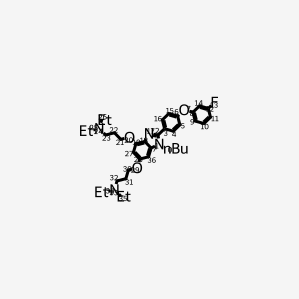 CCCCn1c(-c2ccc(Oc3cccc(F)c3)cc2)nc2c(OCCCN(CC)CC)cc(OCCCN(CC)CC)cc21